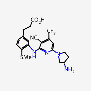 CSc1ccc(CCC(=O)O)cc1Nc1nc(N2CC[C@@H](N)C2)cc(C(F)(F)F)c1C#N